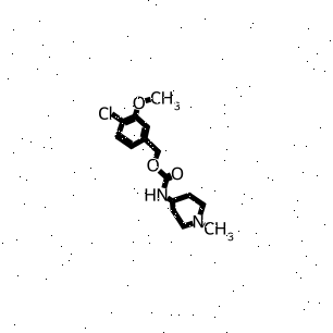 COc1cc(COC(=O)NC2CCN(C)CC2)ccc1Cl